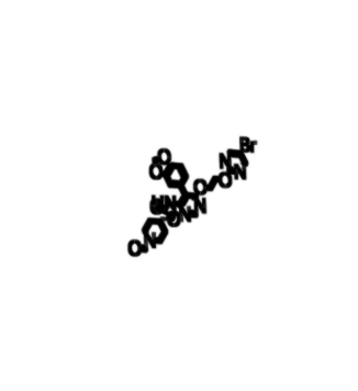 O=CN1CCC(S(=O)(=O)Nc2ncnc(OCCOc3ncc(Br)cn3)c2-c2ccc3c(c2)OCO3)CC1